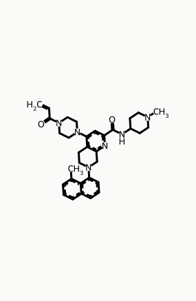 C=CC(=O)N1CCN(c2cc(C(=O)NC3CCN(C)CC3)nc3c2CCN(c2cccc4cccc(C)c24)C3)CC1